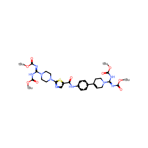 CC(C)(C)OC(=O)N=C(NC(=O)OC(C)(C)C)N1CC=C(c2ccc(NC(=O)c3cnc(N4CCN(C(=NC(=O)OC(C)(C)C)NC(=O)OC(C)(C)C)CC4)s3)cc2)CC1